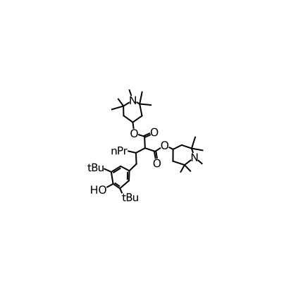 CCCC(Cc1cc(C(C)(C)C)c(O)c(C(C)(C)C)c1)C(C(=O)OC1CC(C)(C)N(C)C(C)(C)C1)C(=O)OC1CC(C)(C)N(C)C(C)(C)C1